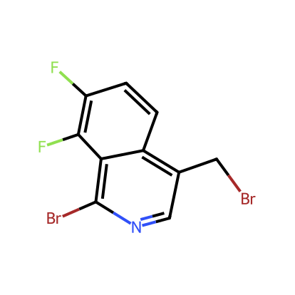 Fc1ccc2c(CBr)cnc(Br)c2c1F